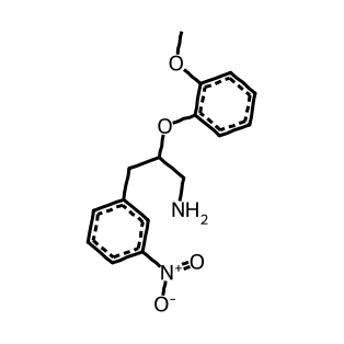 COc1ccccc1OC(CN)Cc1cccc([N+](=O)[O-])c1